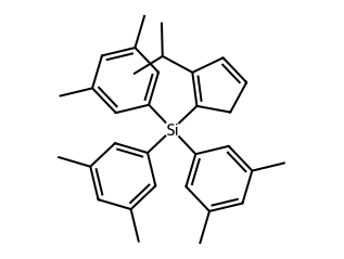 Cc1cc(C)cc([Si](C2=C(C(C)C)C=CC2)(c2cc(C)cc(C)c2)c2cc(C)cc(C)c2)c1